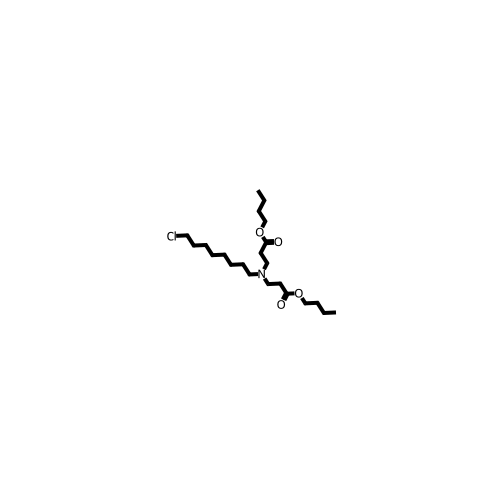 CCCCOC(=O)CCN(CCCCCCCCCl)CCC(=O)OCCCC